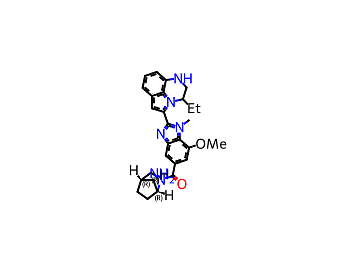 CCC1CNc2cccc3cc(-c4nc5cc(C(=O)N6C[C@H]7CC[C@@H]6[C@@H]7N)cc(OC)c5n4C)n1c23